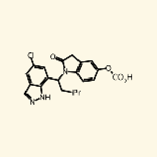 CC(C)CC(c1cc(Cl)cc2cn[nH]c12)N1C(=O)Cc2cc(OC(=O)O)ccc21